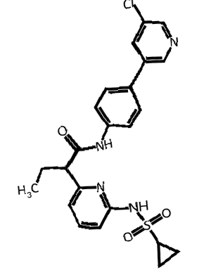 CCC(C(=O)Nc1ccc(-c2cncc(Cl)c2)cc1)c1cccc(NS(=O)(=O)C2CC2)n1